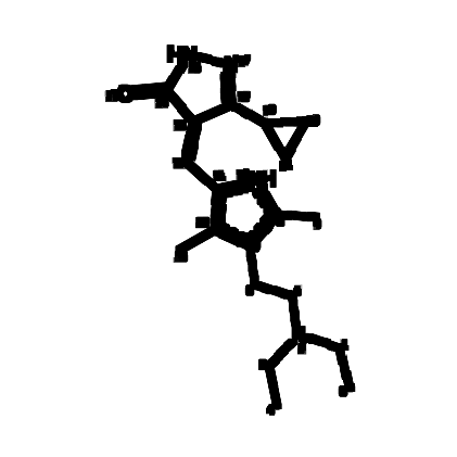 CCN(CC)CCc1c(C)[nH]c(C=C2C(=O)NN=C2C2CC2)c1C